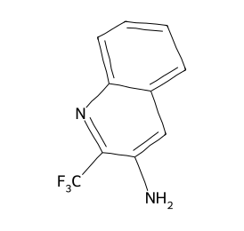 Nc1cc2ccccc2nc1C(F)(F)F